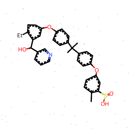 CCc1ccc(Oc2ccc(C(C)(C)c3ccc(Oc4ccc(C)c(S(=O)O)c4)cc3)cc2)cc1C(O)c1cccnc1